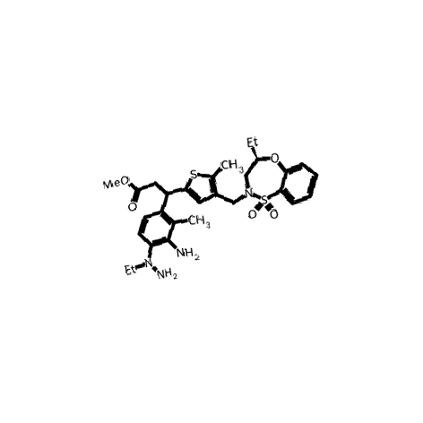 CC[C@@H]1CN(Cc2cc(C(CC(=O)OC)c3ccc(N(N)CC)c(N)c3C)sc2C)S(=O)(=O)c2ccccc2O1